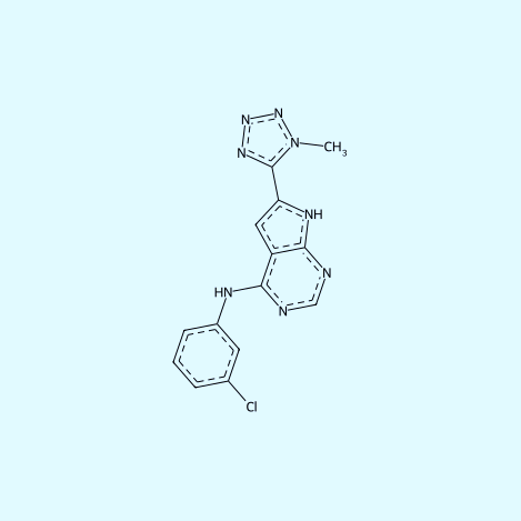 Cn1nnnc1-c1cc2c(Nc3cccc(Cl)c3)ncnc2[nH]1